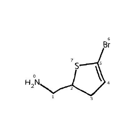 NCC1CC=C(Br)S1